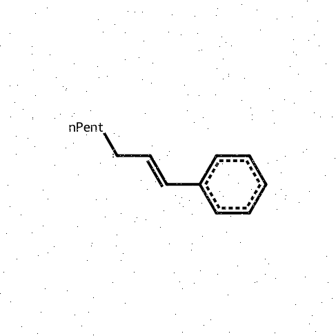 CCCCC[C]C=Cc1ccccc1